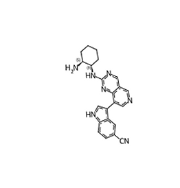 N#Cc1ccc2[nH]cc(-c3cncc4cnc(N[C@@H]5CCCC[C@@H]5N)nc34)c2c1